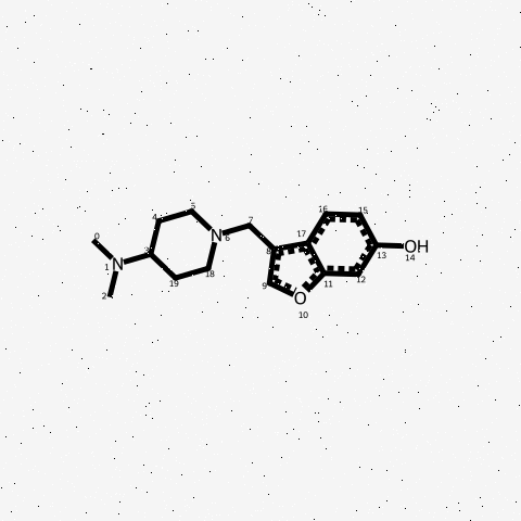 CN(C)C1CCN(Cc2coc3cc(O)ccc23)CC1